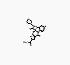 COC(=O)c1cc2n(n1)CC(C)(C(=O)NC1CCCC1)N(c1ccc(F)cc1C)C2=O